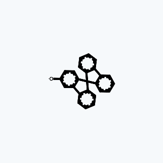 [O]c1ccc2c(c1)-c1ccccc1C21c2ccccc2-c2ccccc21